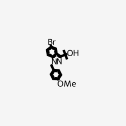 COc1ccc(Cn2nc(C(C)(C)O)c3cc(Br)ccc32)cc1